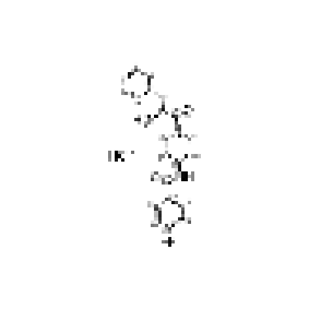 Cl.N[C@@H](Cc1ccccc1)C(=O)N1CCC(NC(=O)c2ccc(F)cc2)CC1